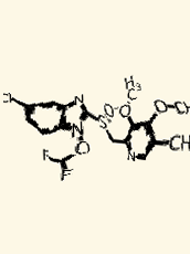 COc1c(C)cnc(C[S+]([O-])c2nc3cc(Cl)ccc3n2OC(F)F)c1OC